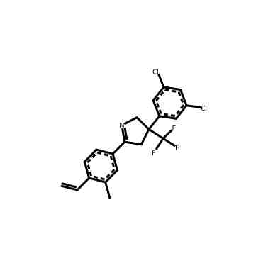 C=Cc1ccc(C2=NCC(c3cc(Cl)cc(Cl)c3)(C(F)(F)F)C2)cc1C